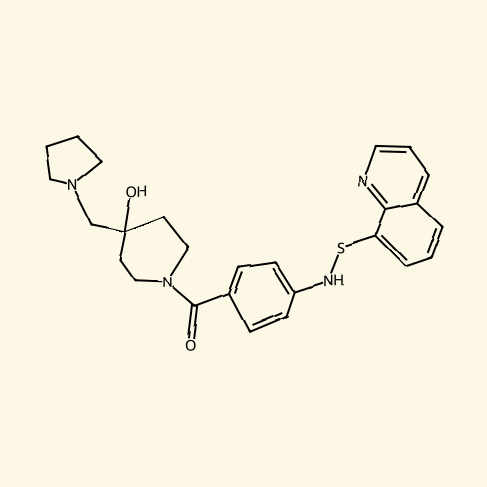 O=C(c1ccc(NSc2cccc3cccnc23)cc1)N1CCC(O)(CN2CCCC2)CC1